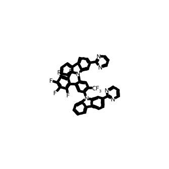 Fc1c(F)c(F)c(-c2cc(-n3c4ccccc4c4ccc(-c5ncccn5)cc43)c(C(F)(F)F)cc2-n2c3ccccc3c3ccc(-c4ncccn4)cc32)c(F)c1F